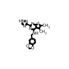 Cc1sc2nc(-c3nc[nH]n3)nc(NCc3ccc4c(c3)OCO4)c2c1C